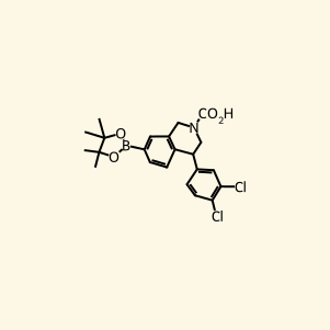 CC1(C)OB(c2ccc3c(c2)CN(C(=O)O)CC3c2ccc(Cl)c(Cl)c2)OC1(C)C